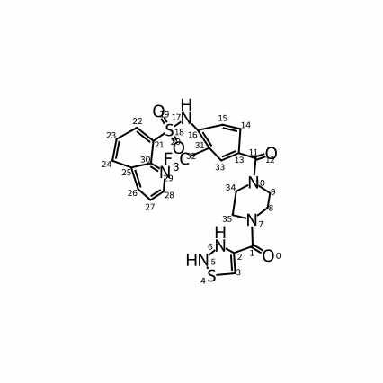 O=C(C1=CSNN1)N1CCN(C(=O)c2ccc(NS(=O)(=O)c3cccc4cccnc34)c(C(F)(F)F)c2)CC1